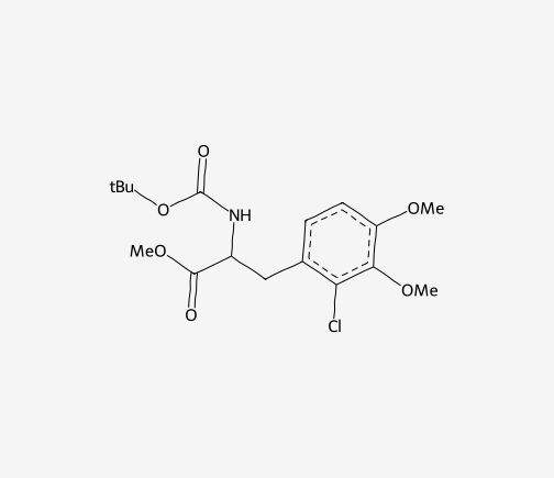 COC(=O)C(Cc1ccc(OC)c(OC)c1Cl)NC(=O)OC(C)(C)C